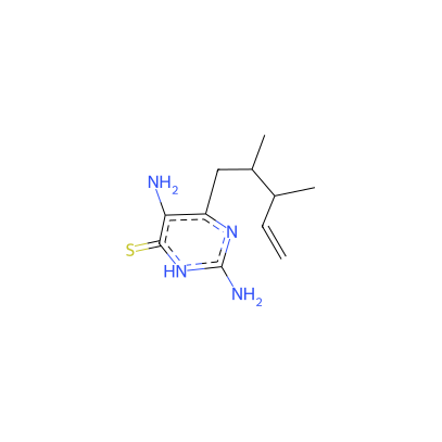 C=CC(C)C(C)Cc1nc(N)[nH]c(=S)c1N